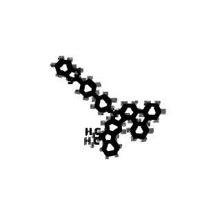 CC1(C)c2ccccc2-c2cc3c4c5c6ccccc6c6ccccc6c5ccc4n(-c4ccc(-c5ccc(-c6nc7ccccc7s6)cc5)cc4)c3cc21